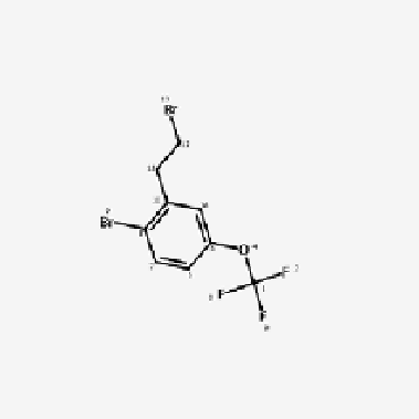 FC(F)(F)Oc1ccc(Br)c(CCBr)c1